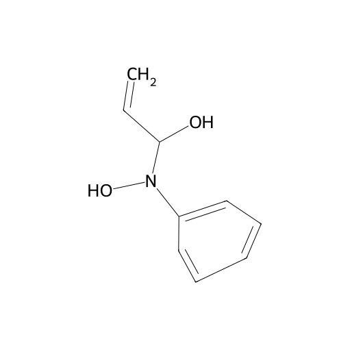 C=CC(O)N(O)c1ccccc1